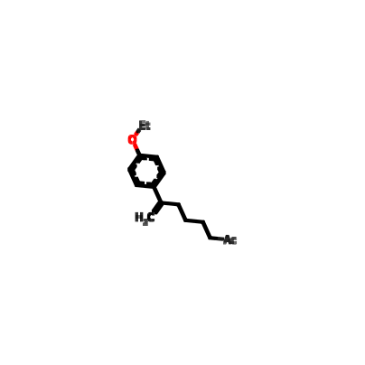 C=C(CCCCC(C)=O)c1ccc(OCC)cc1